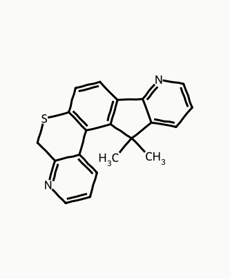 CC1(C)c2cccnc2-c2ccc3c(c21)-c1cccnc1CS3